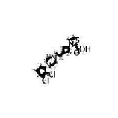 O=C(O)C1SC=CN1C1CC(CCN2CCN(c3cccc(Cl)c3Cl)CC2)C1